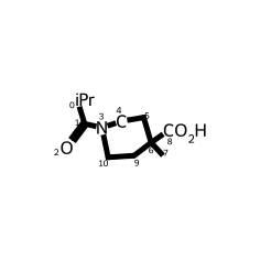 CC(C)C(=O)N1CCC(C)(C(=O)O)CC1